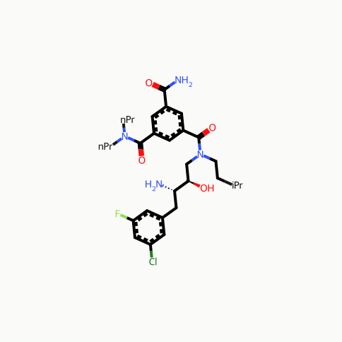 CCCN(CCC)C(=O)c1cc(C(N)=O)cc(C(=O)N(CCC(C)C)C[C@@H](O)[C@@H](N)Cc2cc(F)cc(Cl)c2)c1